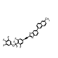 Cc1ccc2cc(-c3ccc4nc(C#Cc5cc(F)c(C(F)(F)Oc6cc(F)c(F)c(F)c6)c(F)c5)sc4c3)ccc2c1